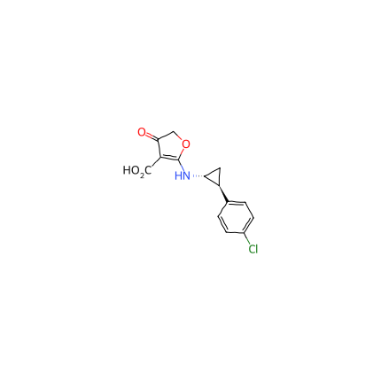 O=C(O)C1=C(N[C@@H]2C[C@H]2c2ccc(Cl)cc2)OCC1=O